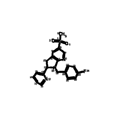 CS(=O)(=O)c1cnc2c(c1)CC(c1ccccn1)N2Cc1ccc(F)cc1